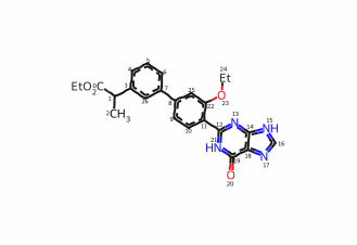 CCOC(=O)C(C)c1cccc(-c2ccc(-c3nc4[nH]cnc4c(=O)[nH]3)c(OCC)c2)c1